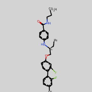 CC(C)C[C@@H](COc1ccc(-c2ccc(C(F)(F)F)cc2F)c(F)c1)Nc1ccc(C(=O)NCCC(=O)O)cc1